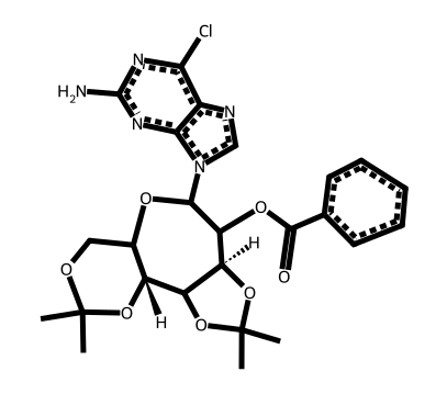 CC1(C)OCC2OC(n3cnc4c(Cl)nc(N)nc43)C(OC(=O)c3ccccc3)[C@H]3OC(C)(C)OC3[C@@H]2O1